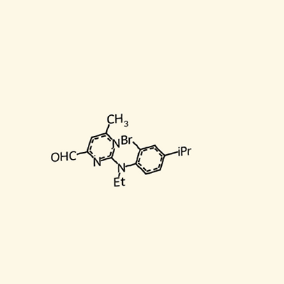 CCN(c1nc(C)cc(C=O)n1)c1ccc(C(C)C)cc1Br